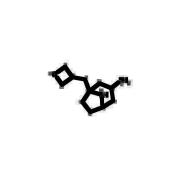 NC1CC2CCC(CC3COC3)(C1)N2